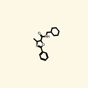 CC1N=C(c2ccccc2)OC1C(=O)NCC1CCCCC1